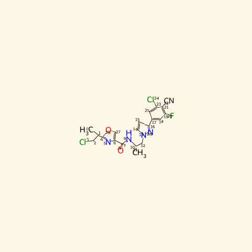 CC(CCl)c1nc(C(=O)N[C@@H](C)Cn2ccc(-c3cc(F)c(C#N)c(Cl)c3)n2)co1